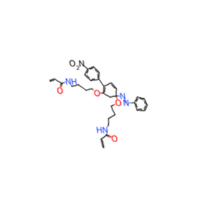 C=CC(=O)NCCCCOC1=C(c2ccc([N+](=O)[O-])cc2)C=CC(N=Nc2ccccc2)(OCCCCNC(=O)C=C)C1